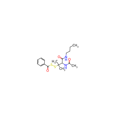 CCCCNC(=O)C(NC(C)=O)C(C)(C)SSC(=O)c1ccccc1